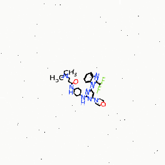 CN(C)CCC(=O)N[C@H]1CC[C@H](Nc2nc(N3CCOCC3)cc(-n3c(C(F)F)nc4ccccc43)n2)CC1